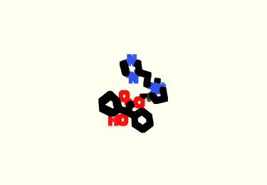 C[N+]1(CCc2cnccn2)CCC[C@@H]1COC(=O)C(O)(c1ccccc1)C1CCCCC1